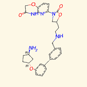 N[C@@H]1CC[C@@H](Oc2cccc(-c3cccc(CNCCC4CN(c5ccc6c(n5)NC(=O)CO6)C(=O)O4)c3)c2)C1